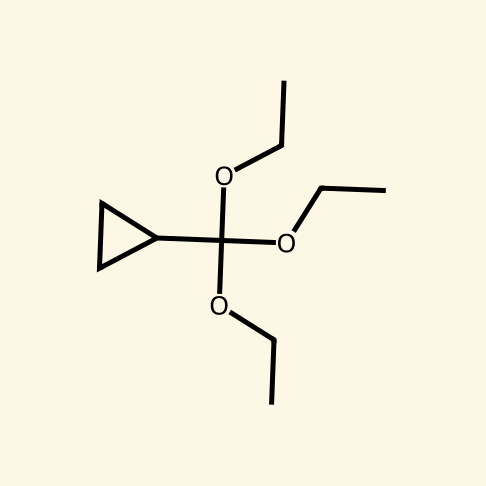 CCOC(OCC)(OCC)C1CC1